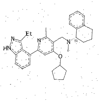 CCc1n[nH]c2cccc(-c3cc(OC4CCCC4)c(CN(C)[C@H]4CCCc5ccccc54)c(C)n3)c12